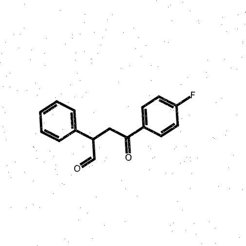 O=CC(CC(=O)c1ccc(F)cc1)c1ccccc1